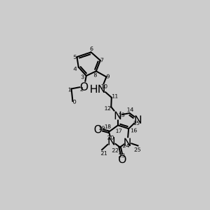 CCOc1ccccc1CNCCn1cnc2c1c(=O)n(C)c(=O)n2C